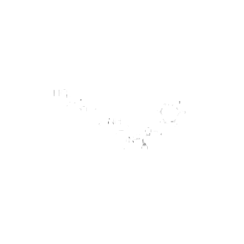 CN(CCNCCOCCO)C(=O)OCc1ccccc1